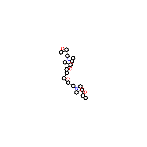 c1ccc(N(c2ccc(-c3ccc4c(c3)oc3c(-c5ccc6c(ccc7c6oc6cccc(-c8ccccc8N(c8ccc(-c9cccc%10oc%11ccccc%11c9%10)cc8)c8cccc9ccccc89)c67)c5)cccc34)cc2)c2cccc3ccccc23)c(-c2cccc3oc4c5ccccc5ccc4c23)c1